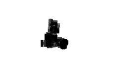 Cc1ccc2ncc(-c3cnn4c3nc(C3CCS(=O)(=O)CC3)c3cc[nH]c34)cc2c1